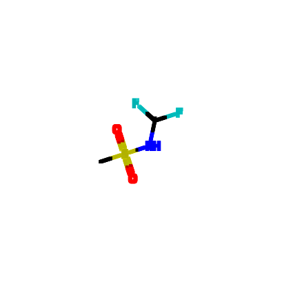 CS(=O)(=O)N[C](F)F